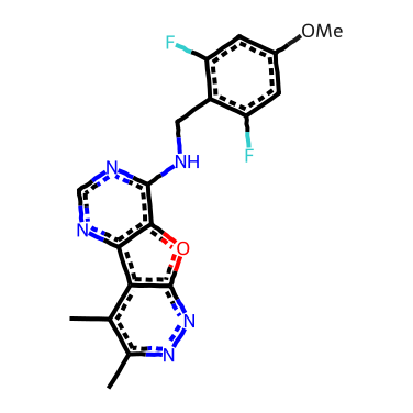 COc1cc(F)c(CNc2ncnc3c2oc2nnc(C)c(C)c23)c(F)c1